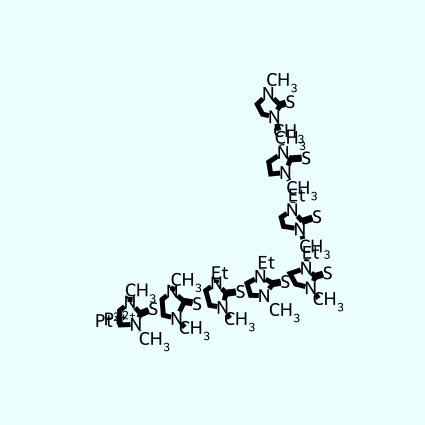 CCN1CCN(C)C1=S.CCN1CCN(C)C1=S.CCN1CCN(C)C1=S.CCN1CCN(C)C1=S.CN1CCN(C)C1=S.CN1CCN(C)C1=S.CN1CCN(C)C1=S.CN1CCN(C)C1=S.[Pt+2].[Pt+2]